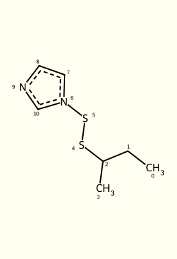 CCC(C)SSn1ccnc1